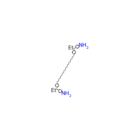 CCC(c1ccc(N)cc1)c1ccc(CCCCCCCCCCCCCCCCCCCCc2ccc(C(CC)c3ccc(N)cc3)cc2)cc1